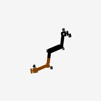 CC=CSS